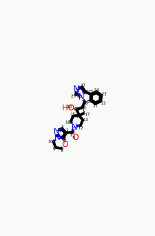 O=C(c1cnn2c1OCCC2)N1CCC2(CC1)C[C@@H]([C@H]1c3ccccc3-c3cncn31)[C@H]2O